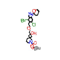 CC(C)(C)OC(=O)N1CCCC2(C1)CC(O)(CCOCCc1c(Cl)cc3c(cnn3[C@@H]3CCCCO3)c1Br)C2